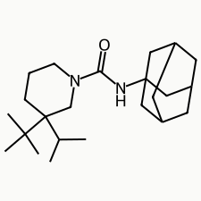 CC(C)C1(C(C)(C)C)CCCN(C(=O)NC23CC4CC(CC(C4)C2)C3)C1